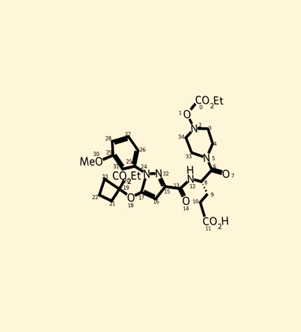 CCOC(=O)ON1CCN(C(=O)[C@H](CCC(=O)O)NC(=O)c2cc(OC3(C(=O)OCC)CCC3)n(-c3cccc(OC)c3)n2)CC1